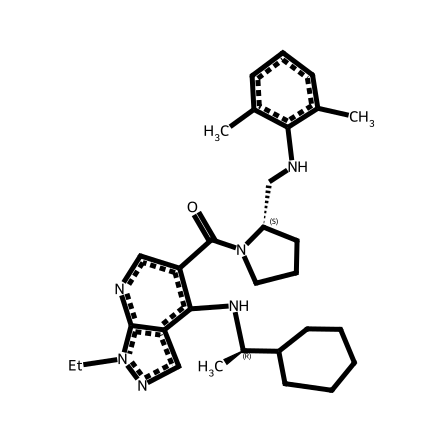 CCn1ncc2c(N[C@H](C)C3CCCCC3)c(C(=O)N3CCC[C@H]3CNc3c(C)cccc3C)cnc21